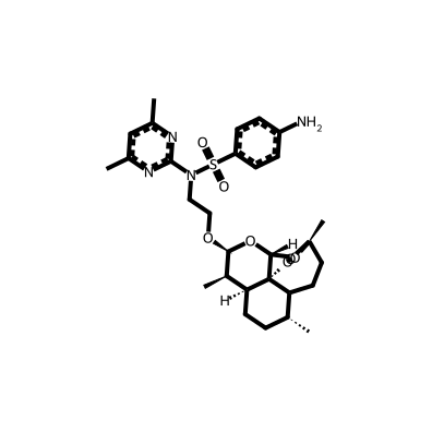 Cc1cc(C)nc(N(CCO[C@H]2O[C@@H]3O[C@@]4(C)CCC5[C@H](C)CC[C@@H]([C@H]2C)[C@]53OO4)S(=O)(=O)c2ccc(N)cc2)n1